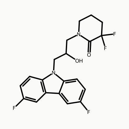 O=C1N(CC(O)Cn2c3ccc(F)cc3c3cc(F)ccc32)CCCC1(F)F